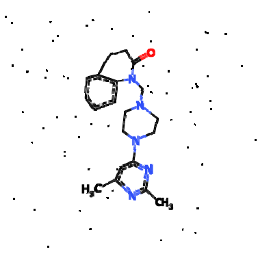 Cc1cc(N2CCN(CN3C(=O)CCc4ccccc43)CC2)nc(C)n1